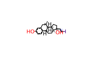 C[C@@H]1Cc2cc(O)ccc2[C@H]2CC[C@@]3(C)[C@@H](CC[C@@]3(O)/C=C/I)[C@H]12